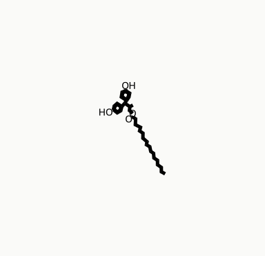 CCCCCCCCCCCCCCCCCC(=O)OCC(C)C(c1ccc(O)cc1)c1ccc(O)cc1